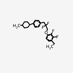 CCc1ccc(OCC(F)(F)Cc2ccc(C3CCC(C)CC3)cc2)c(F)c1F